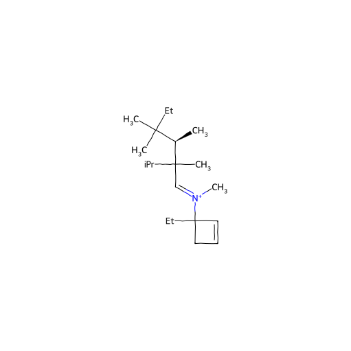 CCC(C)(C)[C@@H](C)C(C)(/C=[N+](\C)C1(CC)C=CC1)C(C)C